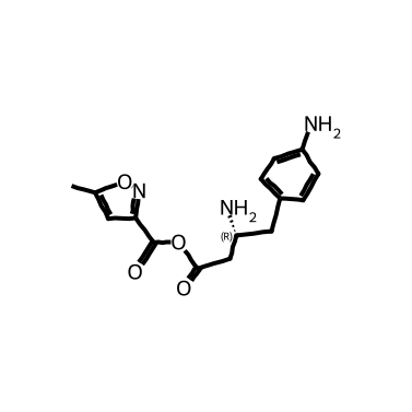 Cc1cc(C(=O)OC(=O)C[C@H](N)Cc2ccc(N)cc2)no1